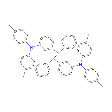 Cc1ccc(N(c2ccc(C)cc2)c2ccc3c(c2)C(C)(C2(C)c4ccccc4-c4ccc(N(c5ccc(C)cc5)c5ccc(C)cc5)cc42)c2ccccc2-3)cc1